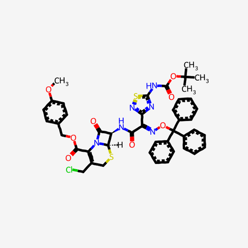 COc1ccc(COC(=O)C2=C(CCl)CS[C@@H]3[C@H](NC(=O)/C(=N/OC(c4ccccc4)(c4ccccc4)c4ccccc4)c4nsc(NC(=O)OC(C)(C)C)n4)C(=O)N23)cc1